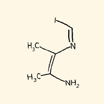 C/C(N)=C(C)/N=C\I